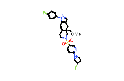 COC[C@]12Cc3cnn(-c4ccc(F)cc4)c3C=C1CCN(S(=O)(=O)c1ccc(N3CC[C@@H](F)C3)nc1)C2